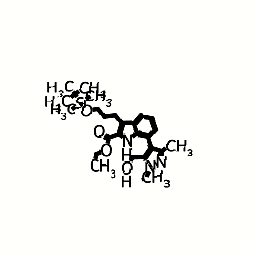 CCOC(=O)c1[nH]c2c(-c3c(C)nn(C)c3CO)cccc2c1CCCO[Si](C)(C)C(C)(C)C